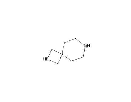 B1CC2(C1)CCNCC2